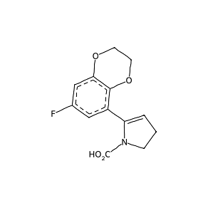 O=C(O)N1CCC=C1c1cc(F)cc2c1OCCO2